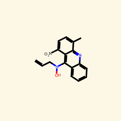 C=CCN(O)c1c2ccccc2nc2c(C)ccc([N+](=O)[O-])c12